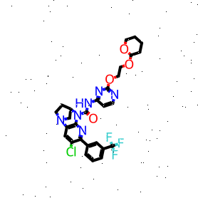 O=C(Nc1ccnc(OCCOC2CCCCO2)n1)N1c2nc(-c3cccc(C(F)(F)F)c3)c(Cl)cc2N2CCC1C2